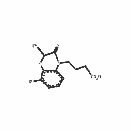 CCOC(=O)CCCN1C(=S)C(C(C)C)Oc2c(C(C)C)cccc21